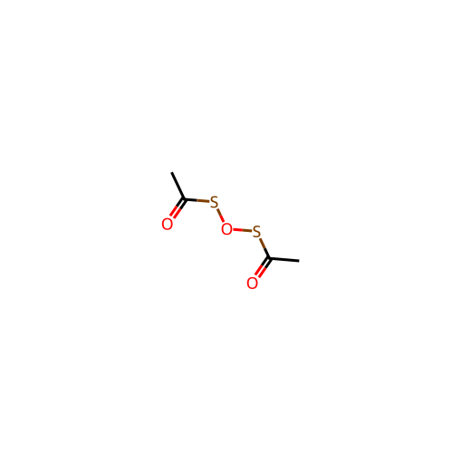 CC(=O)SOSC(C)=O